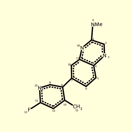 CNc1cnc2ccc(-c3cnc(F)cc3C)cc2n1